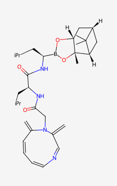 C=c1ccccncc(=C)n1CC(=O)N[C@@H](CC(C)C)C(=O)N[C@@H](CC(C)C)B1O[C@@H]2C[C@@H]3C[C@@H](C3(C)C)[C@]2(C)O1